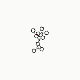 c1ccc(-c2ccc3c(c2)c2c([Si](c4ccccc4)(c4ccccc4)c4ccccc4)cccc2n3-c2ccc3c(c2)c2ccccc2n3-c2ccccc2)cc1